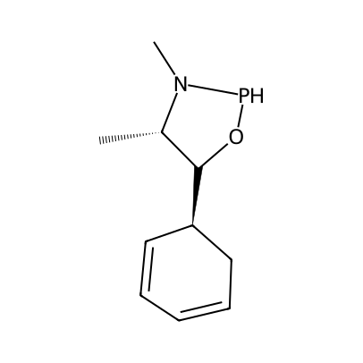 C[C@H]1C([C@@H]2C=CC=CC2)OPN1C